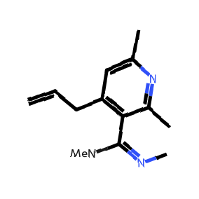 C=CCc1cc(C)nc(C)c1/C(=N\C)NC